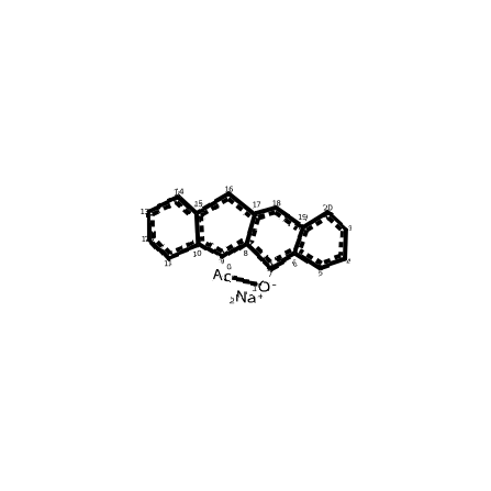 CC(=O)[O-].[Na+].c1ccc2cc3cc4ccccc4cc3cc2c1